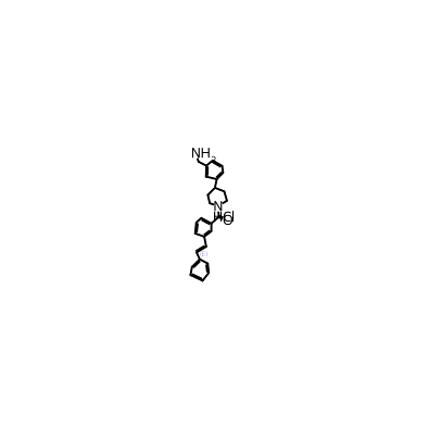 Cl.NCc1cccc(C2CCN(C(=O)c3cccc(/C=C/c4ccccc4)c3)CC2)c1